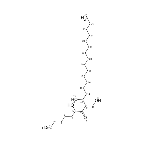 CCCCCCCCCCCCCCC(O)C(=O)C(CO)C(O)CCCCCCCCCCCCCN